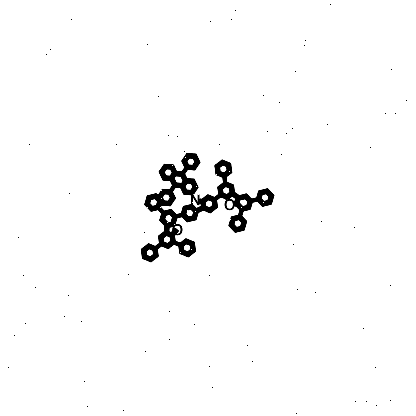 c1ccc(-c2cc(-c3ccccc3)c3oc4c(-c5ccc6c7ccc(-c8cc(-c9ccccc9)cc9c8oc8c(-c%10ccccc%10)cc(-c%10ccccc%10)cc89)cc7n(-c7ccc8c(-c9ccccc9)c9ccccc9c(-c9ccccc9)c8c7)c6c5)cc(-c5ccccc5)cc4c3c2)cc1